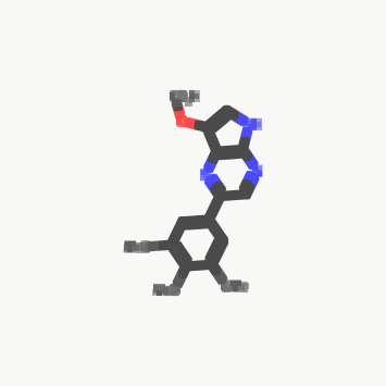 COc1cc(-c2cnc3[nH]cc(OC(=O)O)c3n2)cc(OC)c1OC